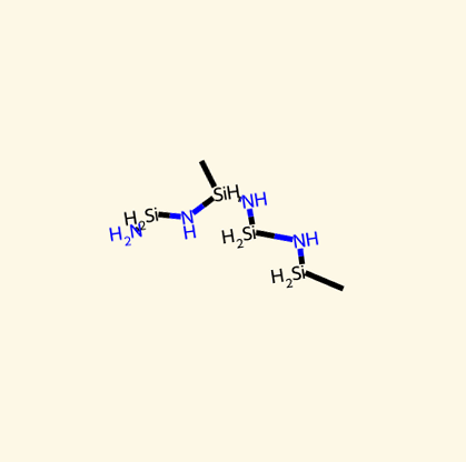 C[SiH2]N[SiH2]N[SiH](C)N[SiH2]N